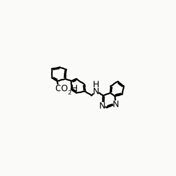 O=C(O)c1ccccc1-c1ccc(CNc2ncnc3ccccc23)cc1